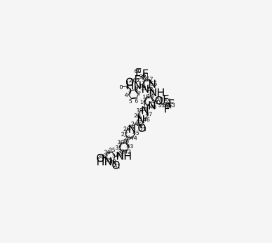 CC(=O)c1ccccc1Nc1nc(Nc2ccc(N3CCN(C(=O)CN4CCC(c5ccc(NC6CCC(=O)NC6=O)cc5)CC4)CC3)nc2OCC(F)(F)F)ncc1C(F)(F)F